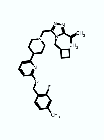 C=C(C)c1nnc(CN2CCC(c3cccc(OCc4ccc(C)cc4F)n3)CC2)n1CC1CCC1